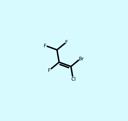 F/C(=C(\Cl)Br)C(F)F